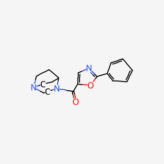 O=C(c1cnc(-c2ccccc2)o1)N1CCN2CCC1CC2